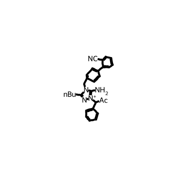 CCCCc1n[n+](C(C(C)=O)c2ccccc2)c(N)n1Cc1ccc(-c2ccccc2C#N)cc1